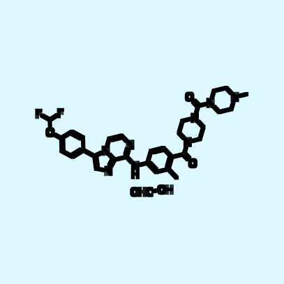 Cc1cc(Nc2nccn3c(-c4ccc(OC(F)F)cc4)cnc23)ccc1C(=O)N1CCN(C(=O)N2CCN(C)CC2)CC1.O=CO